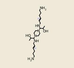 CC(O)C(NC/C=C/CCCN)N1CCN(C(NC/C=C/CCCN)C(C)O)CC1